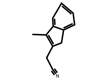 CC1=C(CC#N)Cc2ccccc21